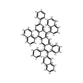 c1ccc(-c2ccc3c(-c4cccc5ncccc45)c4cc5c(-c6ccccc6)c(-c6ccc7ccccc7c6)c6ccccc6c5cc4c(-c4cccc5ncccc45)c3c2)cc1